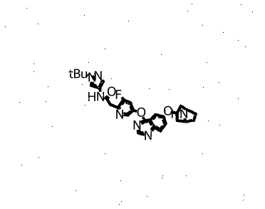 CC(C)(C)n1cc(NC(=O)Cc2ncc(Oc3ncnc4ccc(OC5CC6CCC(C5)N6)cc34)cc2F)cn1